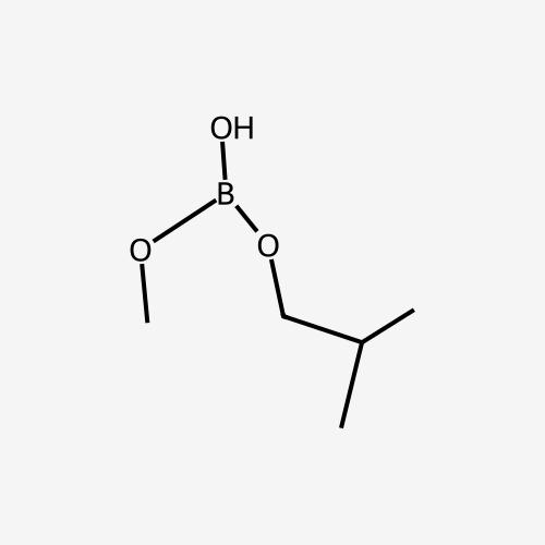 COB(O)OCC(C)C